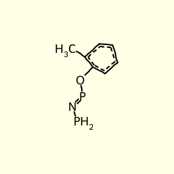 Cc1ccccc1OP=NP